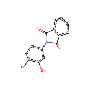 CC(=O)c1ccc(N2C(=O)c3ccccc3C2=O)cc1O